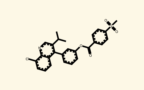 CC(C)c1cnc2c(Cl)cccc2c1-c1cccc(OC(=O)c2ccc(S(C)(=O)=O)cc2)c1